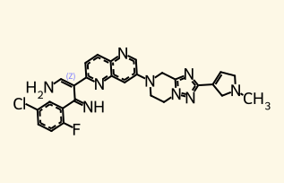 CN1CC=C(c2nc3n(n2)CCN(c2cnc4ccc(/C(=C/N)C(=N)c5cc(Cl)ccc5F)nc4c2)C3)C1